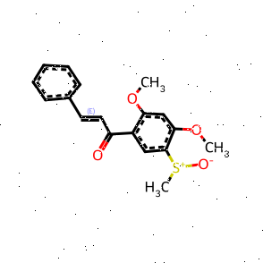 COc1cc(OC)c([S+](C)[O-])cc1C(=O)/C=C/c1ccccc1